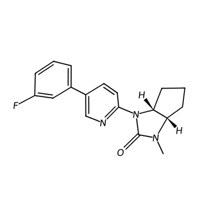 CN1C(=O)N(c2ccc(-c3cccc(F)c3)cn2)[C@@H]2CCC[C@@H]21